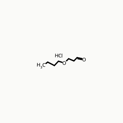 CCCCOCCC=O.Cl